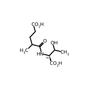 CC(CCC(=O)O)C(=O)N[C@H](C(=O)O)C(C)O